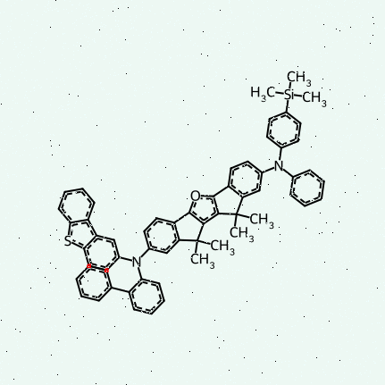 CC1(C)c2cc(N(c3ccccc3)c3ccc([Si](C)(C)C)cc3)ccc2-c2oc3c(c21)C(C)(C)c1cc(N(c2ccc4sc5ccccc5c4c2)c2ccccc2-c2ccccc2)ccc1-3